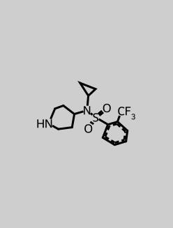 O=S(=O)(c1ccccc1C(F)(F)F)N(C1CCNCC1)C1CC1